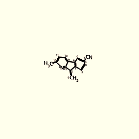 C=C1c2ccc(C#N)cc2-c2ccc(C)nc21